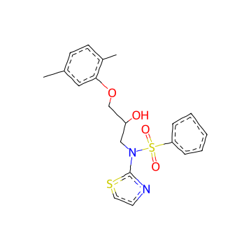 Cc1ccc(C)c(OCC(O)CN(c2nccs2)S(=O)(=O)c2ccccc2)c1